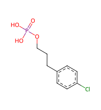 O=P(O)(O)OCCCc1ccc(Cl)cc1